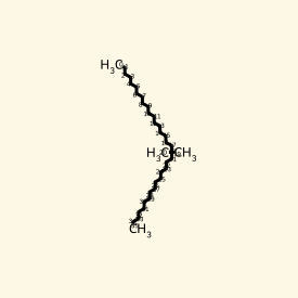 CCCCCCCCCCCCCCCCCCC(C)(C)CCCCCCCCCCCCCCC